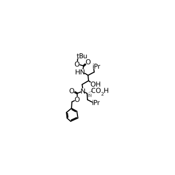 CC(C)CC(NC(=O)OC(C)(C)C)C(O)CN(C(=O)OCc1ccccc1)[C@@H](CC(C)C)C(=O)O